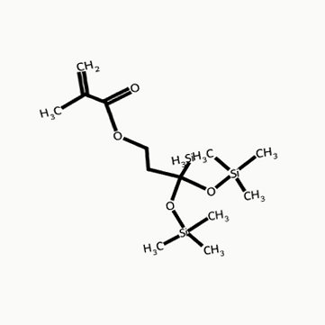 C=C(C)C(=O)OCCC([SiH3])(O[Si](C)(C)C)O[Si](C)(C)C